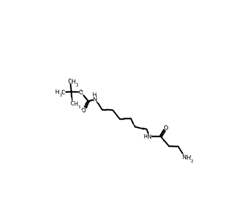 CC(C)(C)OC(=O)NCCCCCCNC(=O)CCN